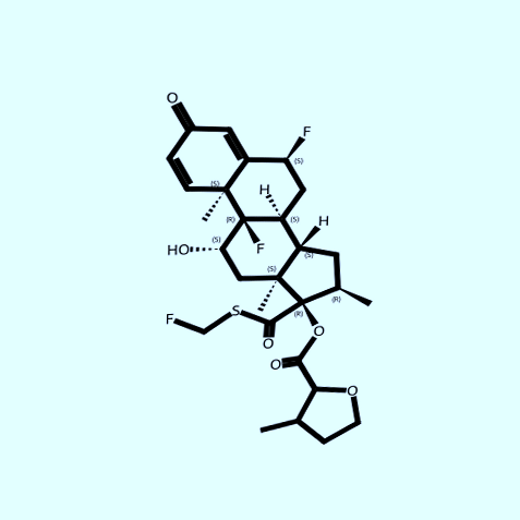 CC1CCOC1C(=O)O[C@]1(C(=O)SCF)[C@H](C)C[C@H]2[C@@H]3C[C@H](F)C4=CC(=O)C=C[C@]4(C)[C@@]3(F)[C@@H](O)C[C@@]21C